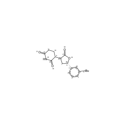 CCC(C)c1cccc([C@@H]2CN(C3CCC(=O)NC3=O)C(=O)O2)c1